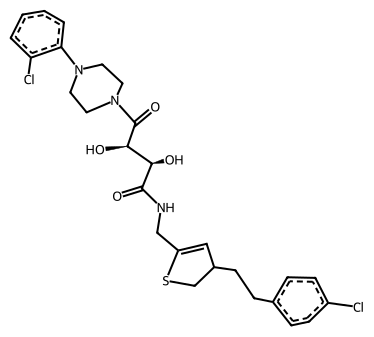 O=C(NCC1=CC(CCc2ccc(Cl)cc2)CS1)[C@H](O)[C@@H](O)C(=O)N1CCN(c2ccccc2Cl)CC1